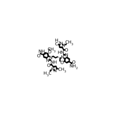 CCn1nc(C)cc1C(=O)Nc1nc2cc(C(N)=O)cc(OC)c2n1CCC[C@H]1COc2cc(C(N)=O)cc3nc(NC(=O)c4cc(C)nn4CC)n1c23